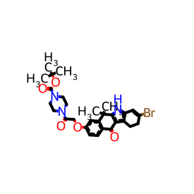 CC(C)(C)OC(=O)N1CCN(C(=O)COc2ccc3c(c2)C(C)(C)c2[nH]c4c(c2C3=O)CCC(Br)=C4)CC1